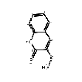 BOc1cc2ccccc2oc1=O